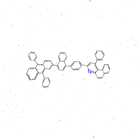 c1ccc(-c2c3ccccc3c(-c3ccccc3)c3cc(-c4ccc(-c5ccc(-c6cc(-c7ccccc7)c7c(ccc8ccccc87)n6)cc5)c5ccccc45)ccc23)cc1